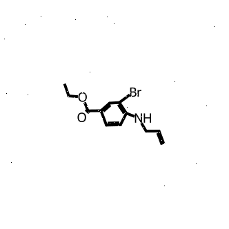 C=CCNc1ccc(C(=O)OCC)cc1Br